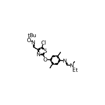 CCN(C)C=Nc1cc(C)c(Oc2nc(C=NOC(C)(C)C)c(Cl)s2)cc1C